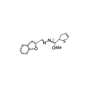 CO/C(=N\N=Cc1cc2ccccc2o1)C1CC=CS1